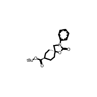 CC(C)(C)OC(=O)[C@H]1CC[C@]2(CC1)CN(c1ccccc1)C(=O)O2